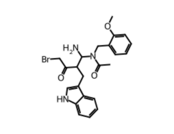 COc1ccccc1CN(C(C)=O)C(N)C(Cc1c[nH]c2ccccc12)C(=O)CBr